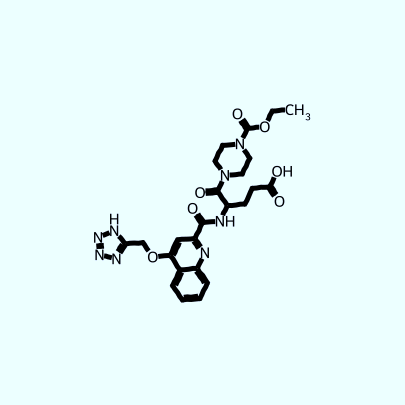 CCOC(=O)N1CCN(C(=O)C(CCC(=O)O)NC(=O)c2cc(OCc3nnn[nH]3)c3ccccc3n2)CC1